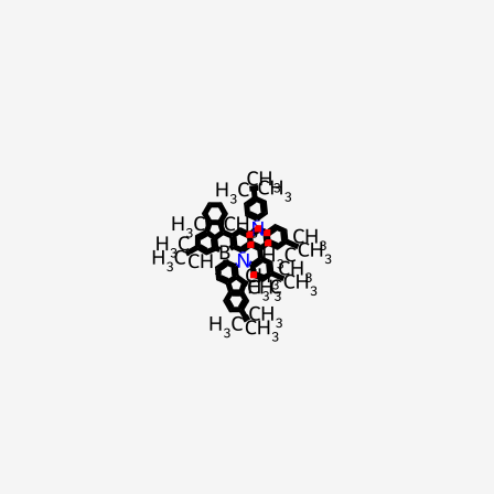 CC(C)(C)c1ccc(N(c2ccc(C(C)(C)C)cc2)c2cc3c4c(c2)N(c2ccc(C(C)(C)C)cc2-c2ccccc2)c2c(ccc5c2C(C)(C)c2cc(C(C)(C)C)ccc2-5)B4c2cc(C(C)(C)C)cc4c2C3C2(C)CCCCC42C)cc1